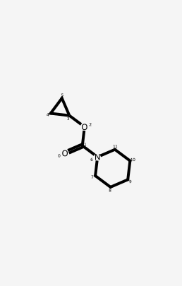 O=C(OC1CC1)N1CCCCC1